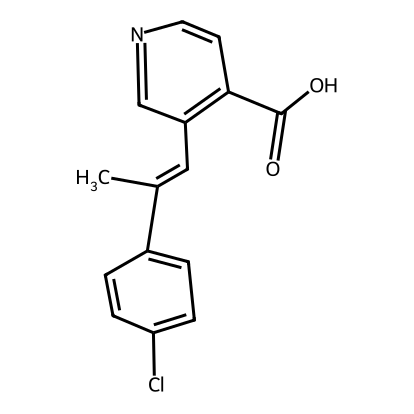 C/C(=C\c1cnccc1C(=O)O)c1ccc(Cl)cc1